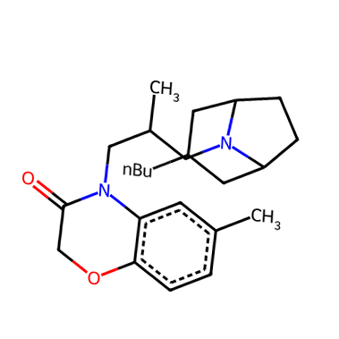 CCCCC1CC2CCC(C1)N2CC(C)CN1C(=O)COc2ccc(C)cc21